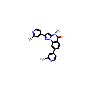 Cc1cc(-c2ccc3c(=O)n(C)c4cc(-c5ccnc(C(F)(F)F)c5)nn4c3c2)ccn1